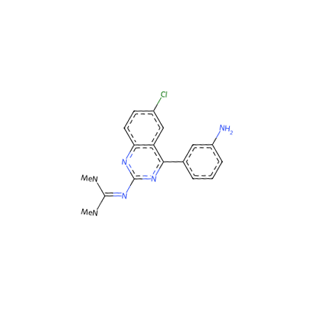 CNC(=Nc1nc(-c2cccc(N)c2)c2cc(Cl)ccc2n1)NC